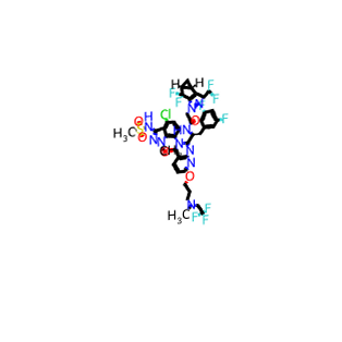 CN(CCCOc1ccc2c(=O)n(-c3ccc(Cl)c4c(NS(C)(=O)=O)nn(C)c34)c([C@H](Cc3cc(F)cc(F)c3)NC(=O)Cn3nc(C(F)F)c4c3C(F)(F)[C@@H]3C[C@H]43)nc2n1)CC(F)(F)F